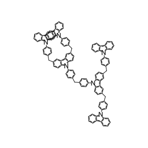 c1ccc2c(c1)c1ccccc1n2-c1ccc(Cc2ccc3c(c2)c2cc(Cc4ccc(-n5c6ccccc6c6ccccc65)cc4)ccc2n3-c2ccc(Cc3ccc(-n4c5ccc(Cc6ccc(-n7c8ccccc8c8ccccc87)cc6)cc5c5cc(Cc6ccc(-n7c8ccccc8c8ccccc87)cc6)ccc54)cc3)cc2)cc1